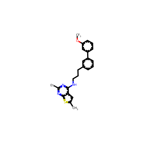 CCc1nc(NCCCc2cccc(-c3cccc(OC(F)(F)F)c3)c2)c2cc(C)sc2n1